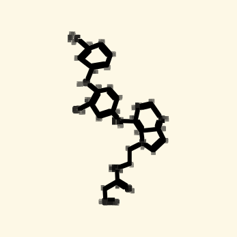 COCC(=O)NCCn1ccc2ncnc(Nc3ccc(Oc4cccc(C(F)(F)F)c4)c(Cl)c3)c21